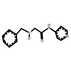 O=C(C[S+]([O-])Cc1ccccc1)Nc1ccncc1